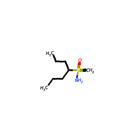 C=S(N)(=O)C(CCC)CCC